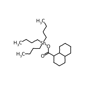 CCC[CH2][Sn]([CH2]CCC)([CH2]CCC)[O]C(=O)C1CCCC2CCCCC21